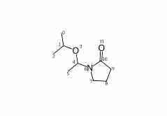 CC(C)OC(C)N1CCCC1=O